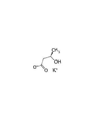 C[C@@H](O)CC(=O)[O-].[K+]